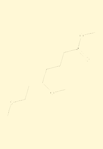 [CH2]SCC[C@H](CCCC(=O)OC)OC